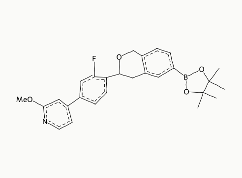 COc1cc(-c2ccc(C3Cc4cc(B5OC(C)(C)C(C)(C)O5)ccc4CO3)c(F)c2)ccn1